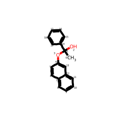 CC(O)(Oc1ccc2ccccc2c1)c1ccccc1